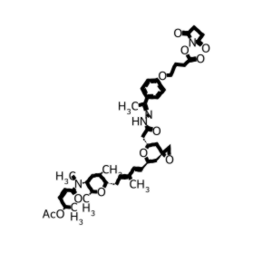 CC(=O)O[C@@H](C)/C=C\C(=O)N(C)[C@@H]1C[C@H](C)[C@H](C/C=C(C)/C=C/[C@@H]2C[C@]3(CO3)C[C@@H](CC(=O)N/N=C(\C)c3ccc(OCCCC(=O)ON4C(=O)CCC4=O)cc3)O2)O[C@@H]1C